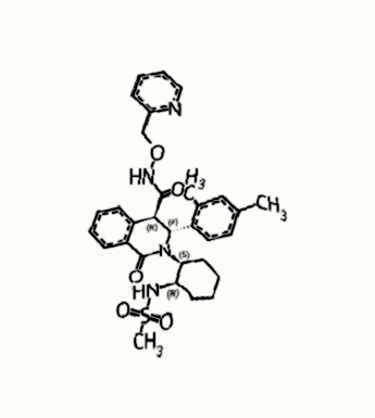 Cc1ccc([C@H]2[C@H](C(=O)NOCc3ccccn3)c3ccccc3C(=O)N2[C@H]2CCCC[C@H]2NS(C)(=O)=O)c(C)c1